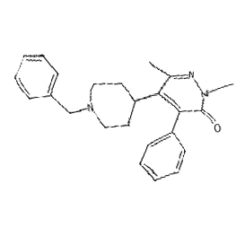 Cc1nn(C)c(=O)c(-c2ccccc2)c1C1CCN(Cc2ccccc2)CC1